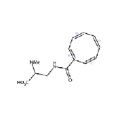 CNC(CNC(=O)C1=C/C=C\C=C/C=C\1)C(=O)O